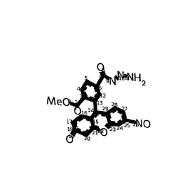 COC(=O)c1ccc(C(=O)N=NN)cc1-c1c2ccc(=O)cc-2oc2cc(N=O)ccc12